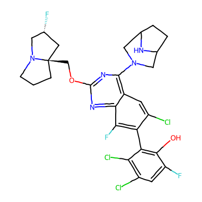 Oc1c(F)cc(Cl)c(Cl)c1-c1c(Cl)cc2c(N3CC4CCC(C3)N4)nc(OC[C@@]34CCCN3C[C@H](F)C4)nc2c1F